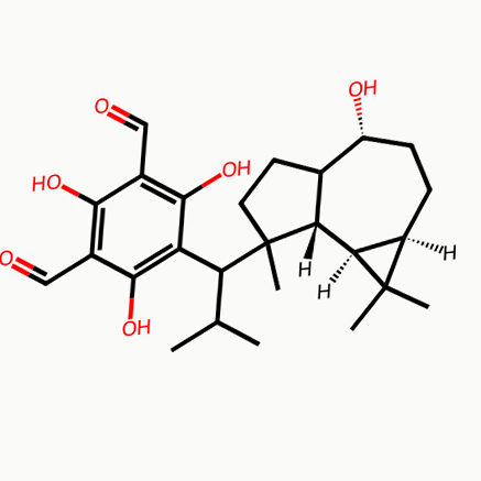 CC(C)C(c1c(O)c(C=O)c(O)c(C=O)c1O)C1(C)CCC2[C@H](O)CC[C@@H]3[C@H]([C@@H]21)C3(C)C